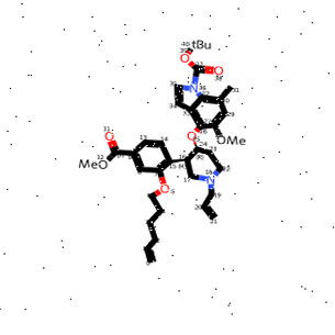 C=CCCCCOc1cc(C(=O)OC)ccc1[C@@H]1CN(CC=C)CC[C@H]1Oc1c(OC)cc(C)c2c1ccn2C(=O)OC(C)(C)C